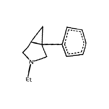 CCN1CC2CC2(c2ccccc2)C1